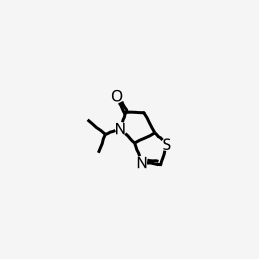 CC(C)N1C(=O)CC2SC=NC21